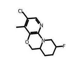 Cc1c(Cl)cnc2c1OCC1CCC(F)CN21